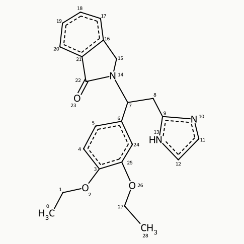 CCOc1ccc(C(Cc2ncc[nH]2)N2Cc3ccccc3C2=O)cc1OCC